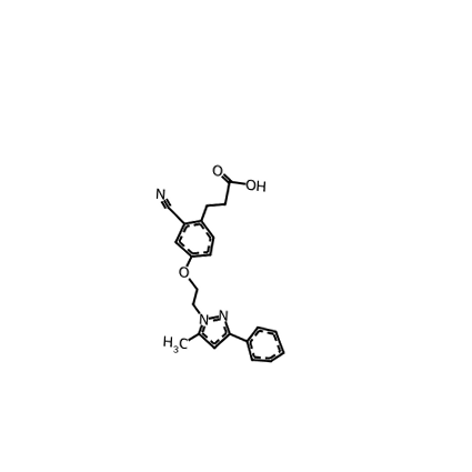 Cc1cc(-c2ccccc2)nn1CCOc1ccc(CCC(=O)O)c(C#N)c1